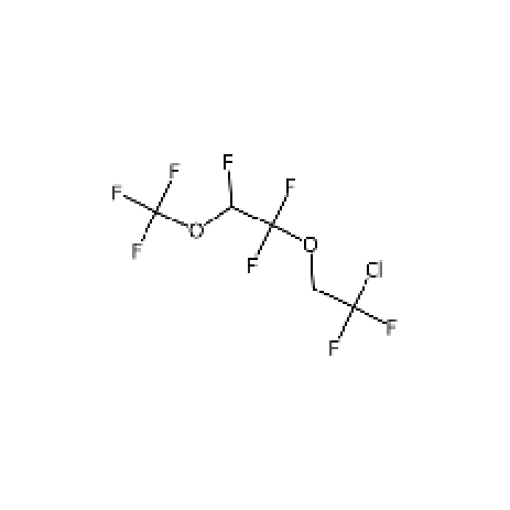 FC(OC(F)(F)F)C(F)(F)OCC(F)(F)Cl